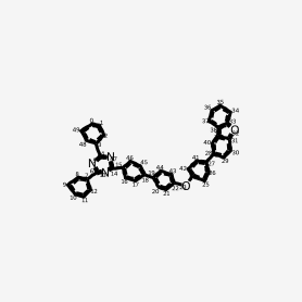 c1ccc(-c2nc(-c3ccccc3)nc(-c3ccc(-c4ccc(Oc5ccc(-c6ccc7oc8ccccc8c7c6)cc5)cc4)cc3)n2)cc1